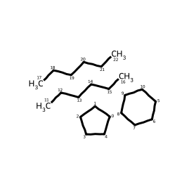 C1CCCC1.C1CCCCC1.CCCCCC.CCCCCC